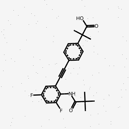 CC(C)(C)C(=O)Nc1c(F)cc(F)cc1C#Cc1ccc(C(C)(C)C(=O)O)cc1